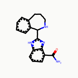 NC(=O)c1cccc2[nH]c(C3NCCCc4ccccc43)nc12